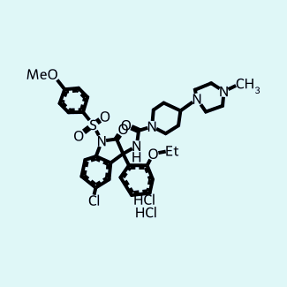 CCOc1ccccc1C1(NC(=O)N2CCC(N3CCN(C)CC3)CC2)C(=O)N(S(=O)(=O)c2ccc(OC)cc2)c2ccc(Cl)cc21.Cl.Cl